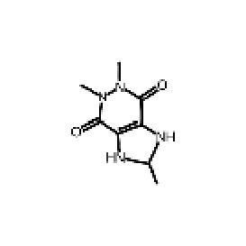 CC1Nc2c(c(=O)n(C)n(C)c2=O)N1